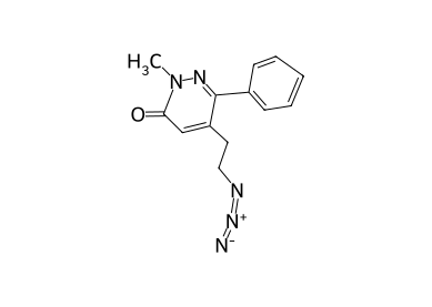 Cn1nc(-c2ccccc2)c(CCN=[N+]=[N-])cc1=O